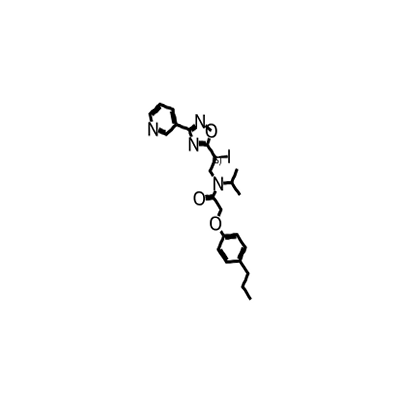 CCCc1ccc(OCC(=O)N(C[C@H](I)c2nc(-c3cccnc3)no2)C(C)C)cc1